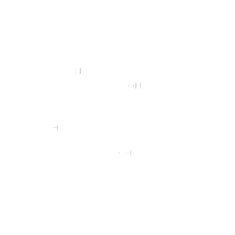 CCCc1c(O)cc(-c2ccccc2)c(O)c1CCC